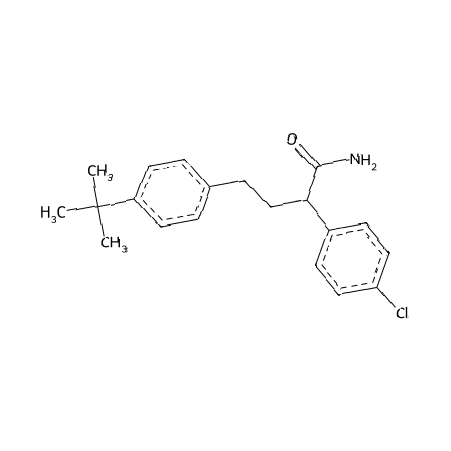 CC(C)(C)c1ccc(CCC(C(N)=O)c2ccc(Cl)cc2)cc1